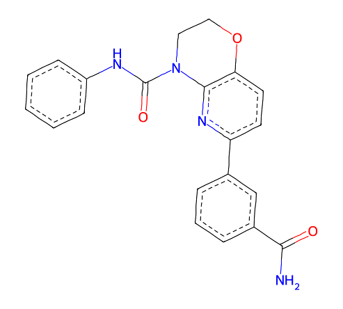 NC(=O)c1cccc(-c2ccc3c(n2)N(C(=O)Nc2ccccc2)CCO3)c1